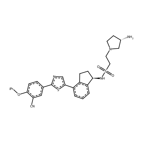 CC(C)Oc1ccc(-c2ncc(-c3cccc4c3CC[C@H]4NS(=O)(=O)CCN3CC[C@H](N)C3)s2)cc1C#N